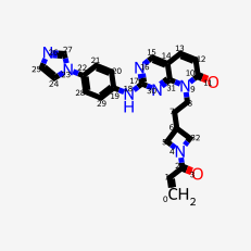 C=CC(=O)N1CC(CCn2c(=O)ccc3cnc(Nc4ccc(-n5ccnc5)cc4)nc32)C1